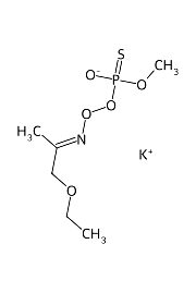 CCOCC(C)=NOOP([O-])(=S)OC.[K+]